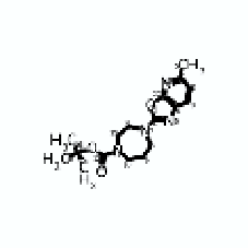 Cc1ccc2nc(N3CCCN(C(=O)OC(C)(C)C)CC3)oc2n1